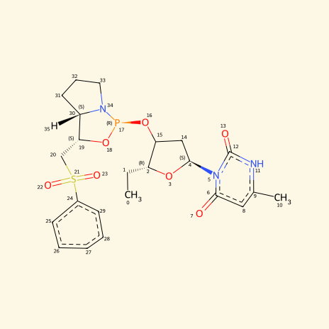 CC[C@H]1O[C@H](n2c(=O)cc(C)[nH]c2=O)CC1O[P@@]1O[C@H](CS(=O)(=O)c2ccccc2)[C@@H]2CCCN21